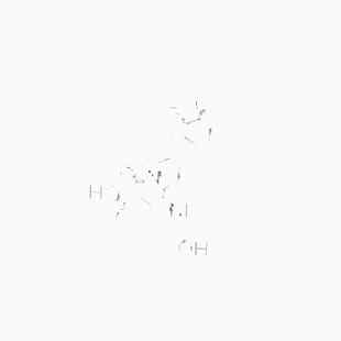 O=C(O)c1cc(NCCO)c2ccc(Cc3cccc(Cl)c3F)cn2c1=O